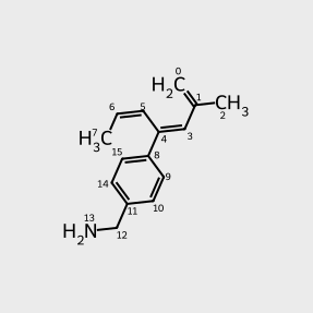 C=C(C)/C=C(\C=C/C)c1ccc(CN)cc1